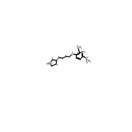 COc1ccc(OCCCC[C@H]2CCNC2)c(C)n1